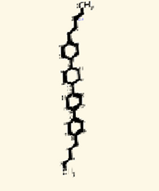 C/C=C/CCC1=CCC(C2CCC(c3ccc(-c4ccc(CCCCC)cc4)cc3)CC2)CC1